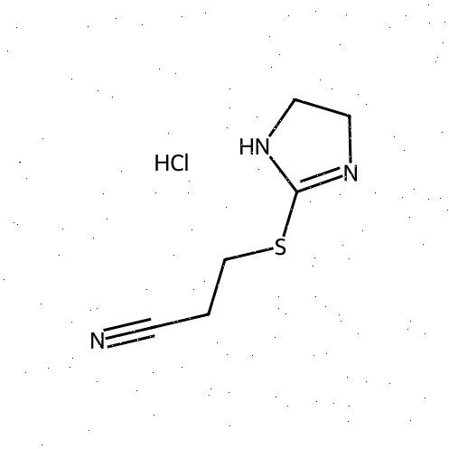 Cl.N#CCCSC1=NCCN1